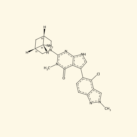 Cn1cc2c(Cl)c(-c3c[nH]c4nc(N5C[C@H]6C[C@@H](C5)[C@H]6N)n(C)c(=O)c34)ccc2n1